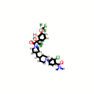 CN(C)C(=O)c1ccc(N2CCC(CC3CCN(C(=O)[C@](O)(c4cccc(OC(F)(F)F)c4)C(F)(F)F)CC3)CC2)cc1Cl